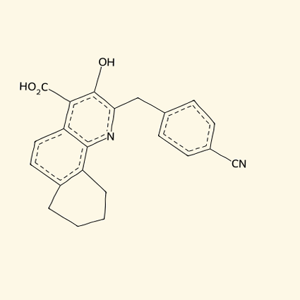 N#Cc1ccc(Cc2nc3c4c(ccc3c(C(=O)O)c2O)CCCC4)cc1